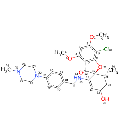 COc1cc(OC)c2c(c1Cl)O[C@]1(C2=O)C(NCc2ccc(N3CCN(C)CC3)cc2)=CC(O)C[C@H]1C